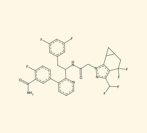 NC(=O)c1cc(-c2cccnc2C(Cc2cc(F)cc(F)c2)NC(=O)Cn2nc(C(F)F)c3c2C2CC2CC3(F)F)ccc1F